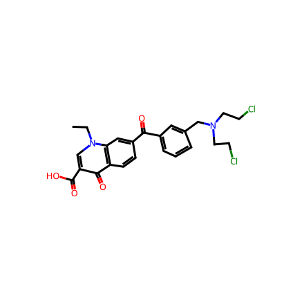 CCn1cc(C(=O)O)c(=O)c2ccc(C(=O)c3cccc(CN(CCCl)CCCl)c3)cc21